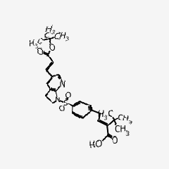 CC(C)(C)OC(=O)/C=C/c1cnc2c(c1)CCN2S(=O)(=O)c1ccc(C/C=C(/C(=O)O)C(C)(C)C)cc1